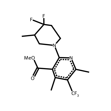 COC(=O)c1c(N2CCC(F)(F)C(C)C2)nc(C)c(C(F)(F)F)c1C